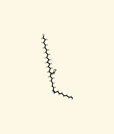 CCCCCCCC/C=C\CCCCCCC([C]=O)CCCCCCCCCCCCCCCC